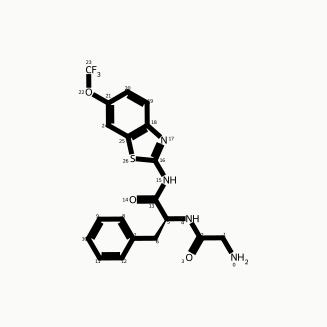 NCC(=O)N[C@@H](Cc1ccccc1)C(=O)Nc1nc2ccc(OC(F)(F)F)cc2s1